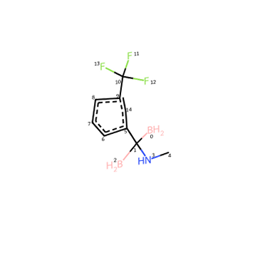 BC(B)(NC)c1cccc(C(F)(F)F)c1